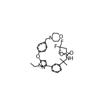 CCn1nc(-c2cccc(C(C)(C)NS(=O)(=O)CC(F)(F)F)c2)cc1Oc1ccc(CN2CCOCC2)cc1